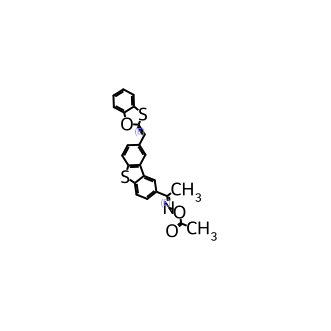 CC(=O)O/N=C(\C)c1ccc2sc3ccc(/C=C4\Oc5ccccc5S4)cc3c2c1